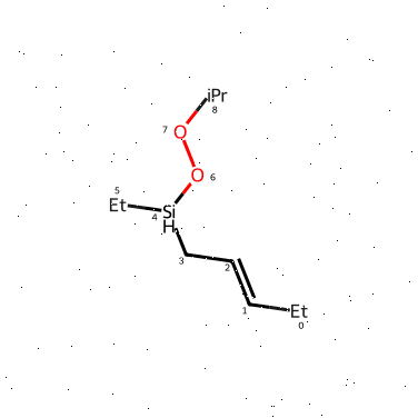 CCC=CC[SiH](CC)OOC(C)C